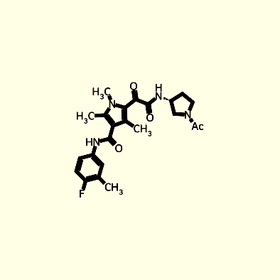 CC(=O)N1CC[C@@H](NC(=O)C(=O)c2c(C)c(C(=O)Nc3ccc(F)c(C)c3)c(C)n2C)C1